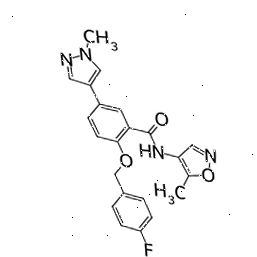 Cc1oncc1NC(=O)c1cc(-c2cnn(C)c2)ccc1OCc1ccc(F)cc1